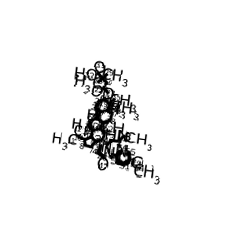 CNCCn1c([C@]23CCC(C(C)C)=C2C2CC[C@@H]4C5(C)CC[C@H](OC(=O)CC(C)(C)C(=O)O)C(C)(C)[C@@H]5CC[C@@]4(C)[C@]2(C)CC3)cc(=O)n1-c1ccc(OC)cn1